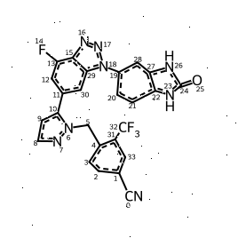 N#Cc1ccc(Cn2nccc2-c2cc(F)c3nnn(-c4ccc5[nH]c(=O)[nH]c5c4)c3c2)c(C(F)(F)F)c1